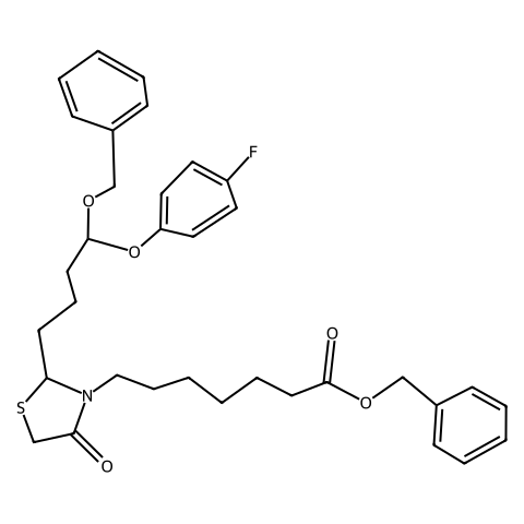 O=C(CCCCCCN1C(=O)CSC1CCCC(OCc1ccccc1)Oc1ccc(F)cc1)OCc1ccccc1